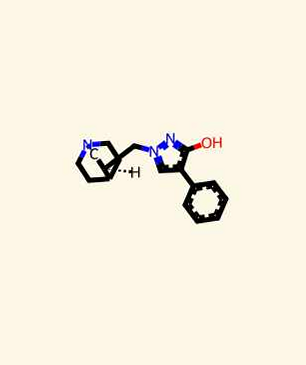 Oc1nn(C[C@@H]2CN3CCC2CC3)cc1-c1ccccc1